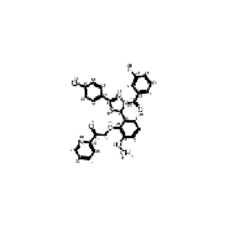 COc1cccc(C2SC(c3ccc(Cl)cc3)=NN2C(=O)c2cccc(F)c2)c1OCC(=O)c1ccccn1